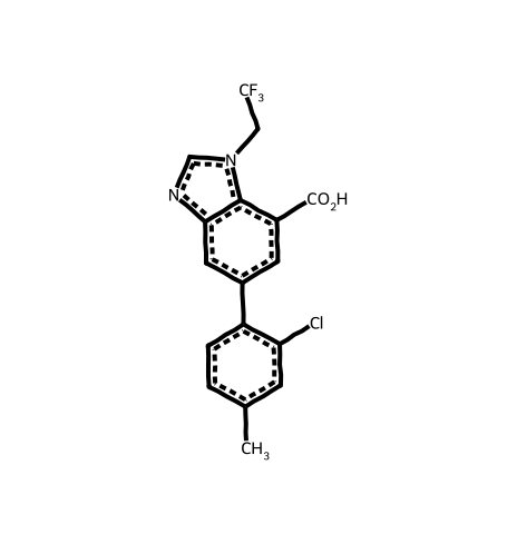 Cc1ccc(-c2cc(C(=O)O)c3c(c2)ncn3CC(F)(F)F)c(Cl)c1